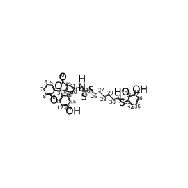 O=C1OC2(c3ccccc3Oc3cc(O)ccc32)c2ccc(NC(=S)SCCCCCCSc3cccc(O)c3O)cc21